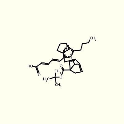 CCCCc1ncc(/C=C/C=C/C(=O)O)n1C1C2=CCC1(C(=O)OC(C)(C)C)C(CC1CCCC1)=C2